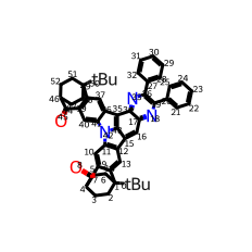 CC(C)(C)C12CCC(CC1)C(=O)c1cc3c(cc12)c1cc2nc(-c4ccccc4)c(-c4ccccc4)nc2c2c4cc5c(cc4n3c12)C(=O)C1CCC5(C(C)(C)C)CC1